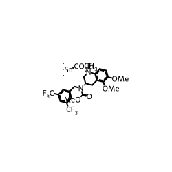 CCO[C](=O)[Sn].COC(=O)N(Cc1cc(C(F)(F)F)cc(C(F)(F)F)c1)[C@H]1Cc2c(ccc(OC)c2OC)N(C)C1